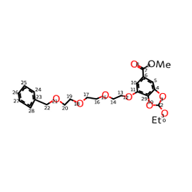 CCOC1Oc2cc(C(=O)OC)cc(OCCOCCOCCOCc3ccccc3)c2O1